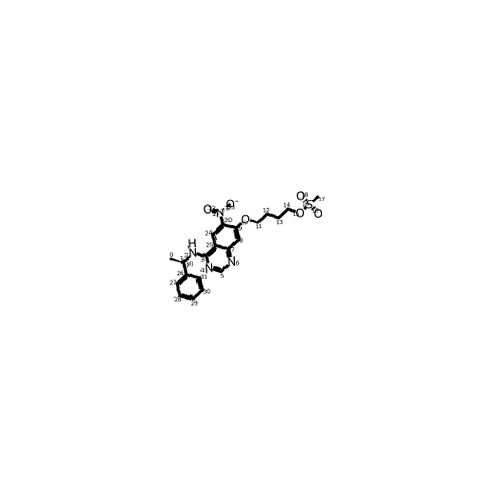 C[C@@H](Nc1ncnc2cc(OCCCCOS(C)(=O)=O)c([N+](=O)[O-])cc12)c1ccccc1